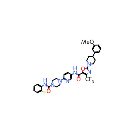 COc1cccc(C2CCN(c3nc(C(F)(F)F)c(C(=O)Nc4ccc(N5CCN(C(=O)Nc6ccccc6F)CC5)nc4)o3)CC2)c1